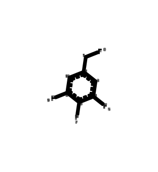 FCc1cc(F)c(F)c(F)c1